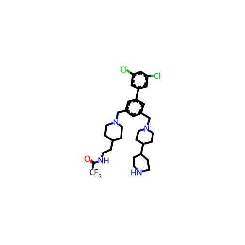 O=C(NCCC1CCN(Cc2cc(CN3CCC(C4CCNCC4)CC3)cc(-c3cc(Cl)cc(Cl)c3)c2)CC1)C(F)(F)F